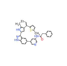 CC/C=C(/c1ccc(C)s1)c1cc(-c2n[nH]c3ccc(-c4cncc(NC(=O)Cc5ccccc5)c4)cc23)[nH]c1C